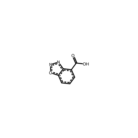 O=C(O)c1cccc2onnc12